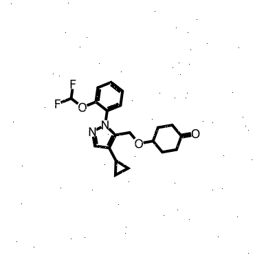 O=C1CCC(OCc2c(C3CC3)cnn2-c2ccccc2OC(F)F)CC1